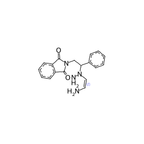 N/C=C\N(N)C(CN1C(=O)c2ccccc2C1=O)c1ccccc1